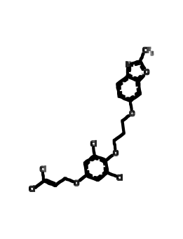 FC(F)(F)c1nc2ccc(OCCCOc3c(Cl)cc(OCC=C(Cl)Cl)cc3Cl)cc2o1